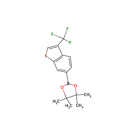 CC1(C)OB(c2ccc3c(C(F)(F)F)csc3c2)OC1(C)C